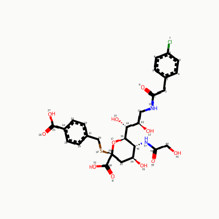 O=C(Cc1ccc(Cl)cc1)NC[C@@H](O)[C@@H](O)[C@@H]1O[C@@](SCc2ccc(C(=O)O)cc2)(C(=O)O)C[C@H](O)[C@H]1NC(=O)CO